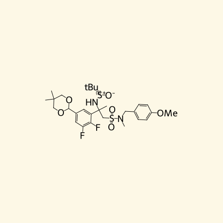 COc1ccc(CN(C)S(=O)(=O)CC(C)(N[S@+]([O-])C(C)(C)C)c2cc(C3OCC(C)(C)CO3)cc(F)c2F)cc1